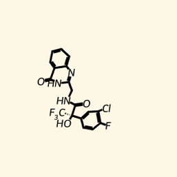 O=C(NCc1nc2ccccc2c(=O)[nH]1)[C@](O)(c1ccc(F)c(Cl)c1)C(F)(F)F